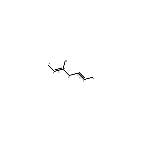 C/C=C/C/C(C)=C/C